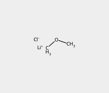 COC.[Cl-].[Li+]